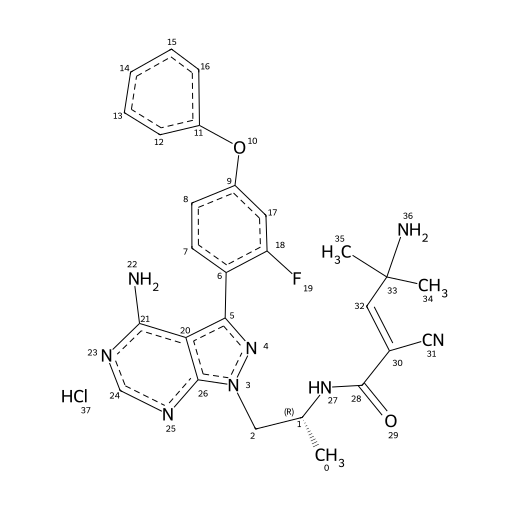 C[C@H](Cn1nc(-c2ccc(Oc3ccccc3)cc2F)c2c(N)ncnc21)NC(=O)C(C#N)=CC(C)(C)N.Cl